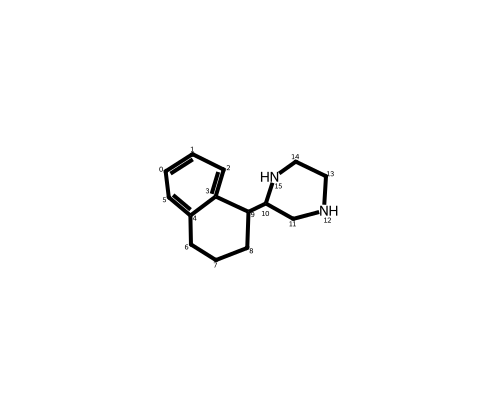 c1ccc2c(c1)CCCC2C1CNCCN1